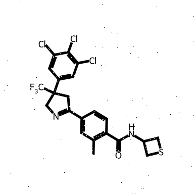 Cc1cc(C2=NCC(c3cc(Cl)c(Cl)c(Cl)c3)(C(F)(F)F)C2)ccc1C(=O)NC1CSC1